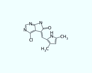 Cc1cc(C)c(C=C2C(=O)[N]c3ncnc(Cl)c32)[nH]1